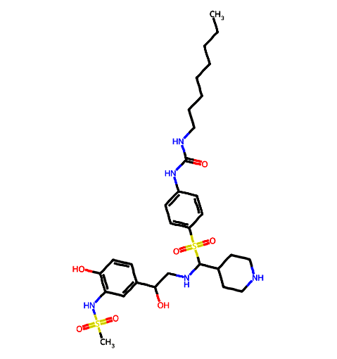 CCCCCCCCNC(=O)Nc1ccc(S(=O)(=O)C(NCC(O)c2ccc(O)c(NS(C)(=O)=O)c2)C2CCNCC2)cc1